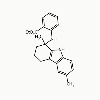 CCOC(=O)c1ccccc1NC1(C)CCCc2c1[nH]c1ccc(C)cc21